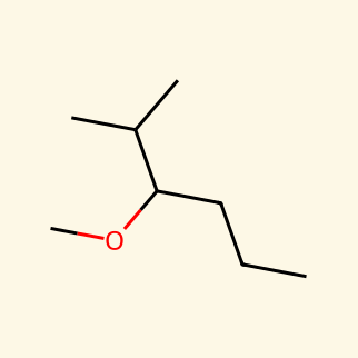 CCCC(OC)C(C)C